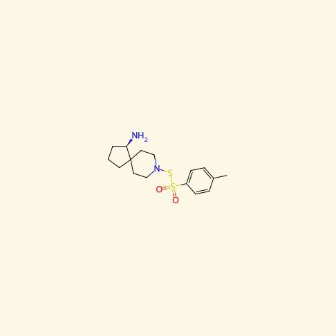 Cc1ccc(S(=O)(=O)SN2CCC3(CCC[C@H]3N)CC2)cc1